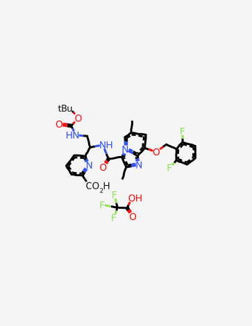 Cc1cc(OCc2c(F)cccc2F)c2nc(C)c(C(=O)NC(CNC(=O)OC(C)(C)C)c3cccc(C(=O)O)n3)n2c1.O=C(O)C(F)(F)F